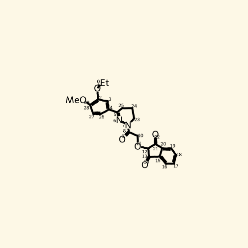 CCOc1cc(C2=NN(C(=O)COC3C(=O)c4ccccc4C3=O)CCC2)ccc1OC